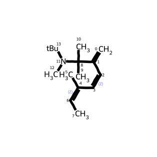 C=C(/C=C\C(C)=C/C)C(C)(C)N(C)C(C)(C)C